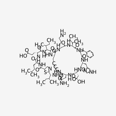 CCC(C)[C@@H]1NC(=O)[C@@H](CCCN)NC(=O)[C@@H](NC(=O)[C@@H](NC(=O)[C@@H](CCC(=O)O)NC(=O)[C@H](CCC(C)C)NC(=O)C2CN=C([C@H](N)C(C)CC)S2)C(C)CC)CCCCNC(=O)[C@H](CC(N)=O)NC(=O)[C@@H](CC(=O)O)NC(=O)[C@H](Cc2c[nH]cn2)NC(=O)[C@H](Cc2ccccc2)NC1=O